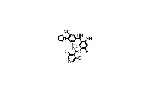 N#Cc1cc(C(=N)c2cc(O[C@H](N)c3c(Cl)cncc3Cl)c(F)cc2N)ccc1N1CCCC1